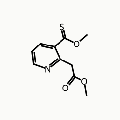 COC(=O)Cc1ncccc1C(=S)OC